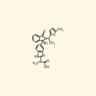 Cc1ccc(C(C)N2C(=O)c3ccccc3C2(O)c2ccc3[nH]c(N(C)C(=O)O)nc3c2)s1